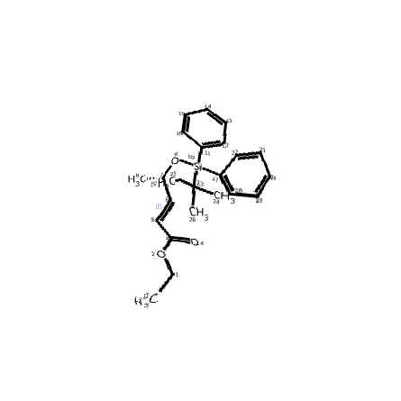 CCOC(=O)/C=C/[C@H](C)O[Si](c1ccccc1)(c1ccccc1)C(C)(C)C